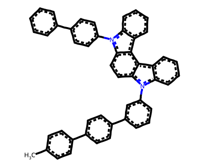 Cc1ccc(-c2ccc(-c3cccc(-n4c5ccccc5c5c6c7ccccc7n(-c7ccc(-c8ccccc8)cc7)c6ccc54)c3)cc2)cc1